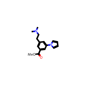 COC(=O)c1cc(CCN(C)C)cc(-n2cccc2)c1